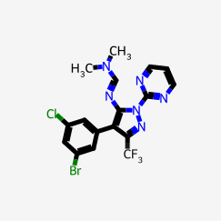 CN(C)C=Nc1c(-c2cc(Cl)cc(Br)c2)c(C(F)(F)F)nn1-c1ncccn1